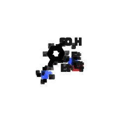 Br.CC[N+](CC)(CC)CC.C[N+](C)(C)C.Cc1ccc(S(=O)(=O)O)cc1